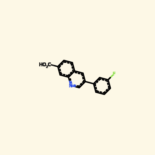 O=C(O)c1ccc2cc(-c3cccc(F)c3)cnc2c1